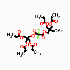 C=CC(=O)OCC(COC(C)=O)(COC(=O)C=C)COC(=O)C(F)(F)C(=O)OCC(COC(=O)C=C)(COC(=O)C=C)COC(=O)C=C